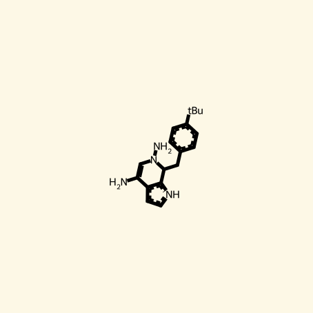 CC(C)(C)c1ccc(CC2c3[nH]ccc3C(N)=CN2N)cc1